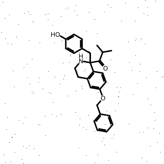 CC(C)C(=O)C1(Cc2ccc(O)cc2)NCCc2cc(OCc3ccccc3)ccc21